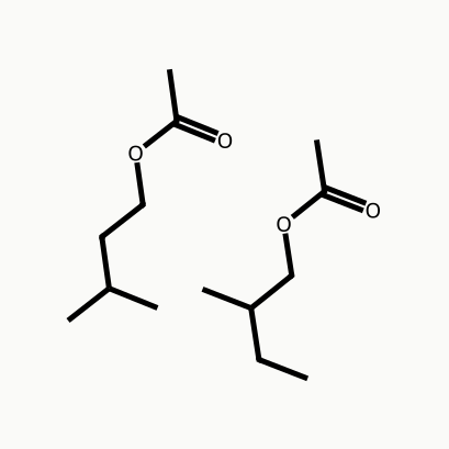 CC(=O)OCCC(C)C.CCC(C)COC(C)=O